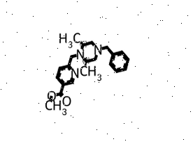 COC(=O)c1ccc(CN2[C@H](C)CN(Cc3ccccc3)C[C@@H]2C)nc1